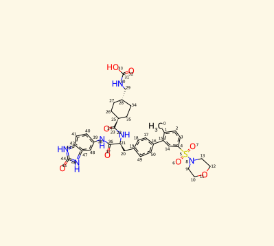 Cc1ccc(S(=O)(=O)N2CCOCC2)cc1-c1ccc(C[C@H](NC(=O)[C@H]2CC[C@H](CNC(=O)O)CC2)C(=O)Nc2ccc3[nH]c(=O)[nH]c3c2)cc1